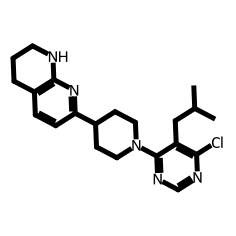 CC(C)Cc1c(Cl)ncnc1N1CCC(c2ccc3c(n2)NCCC3)CC1